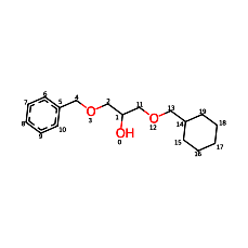 OC(COCc1ccccc1)COCC1CCCCC1